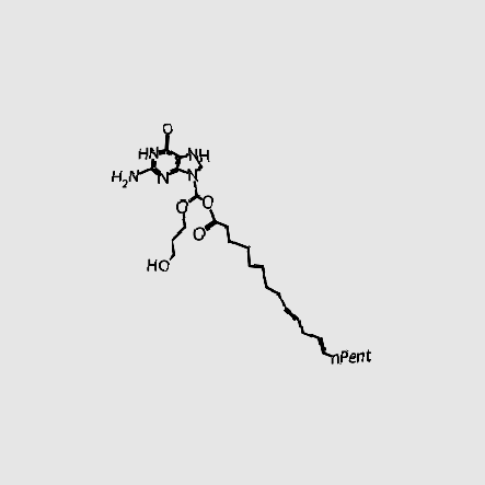 CCCCCC=CCC=CCCCCCCCC(=O)OC(OCCCO)N1CNc2c1nc(N)[nH]c2=O